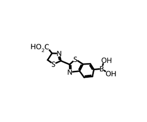 O=C(O)C1CSC(c2nc3ccc(B(O)O)cc3s2)=N1